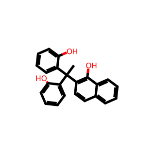 CC(c1ccccc1O)(c1ccccc1O)c1ccc2ccccc2c1O